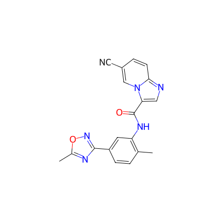 Cc1nc(-c2ccc(C)c(NC(=O)c3cnc4ccc(C#N)cn34)c2)no1